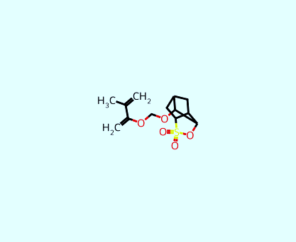 C=C(C)C(=C)OCOC1C2CC3C1OS(=O)(=O)C3C2